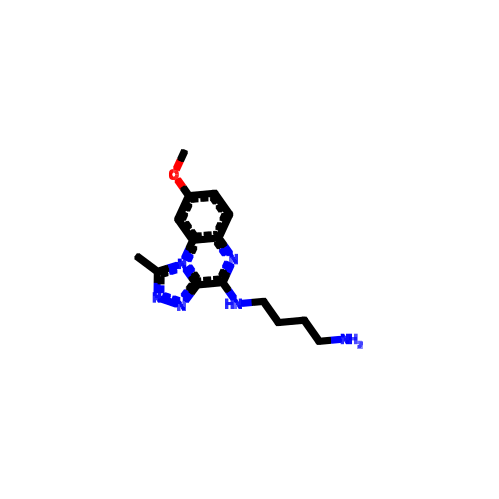 COc1ccc2nc(NCCCCN)c3nnc(C)n3c2c1